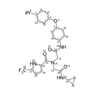 CC(C)c1ccc(Oc2ccc(NC(=O)CN(CC(=O)NC3CC3)C(=O)c3ccc(C(F)(F)F)[nH]3)cc2)cc1